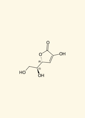 O=C1O[C@@H]([C@@H](O)CO)C=C1O